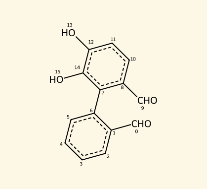 O=Cc1ccccc1-c1c(C=O)ccc(O)c1O